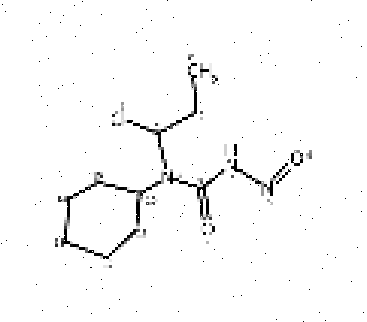 CCC(Cl)N(C(=O)NN=O)C1CCCCC1